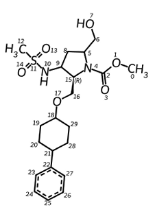 COC(=O)N1C(CO)CC(NS(C)(=O)=O)[C@@H]1COC1CCC(c2ccccc2)CC1